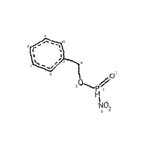 O=[N+]([O-])[PH](=O)OCc1ccccc1